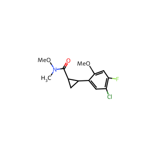 COc1cc(F)c(Cl)cc1C1CC1C(=O)N(C)OC